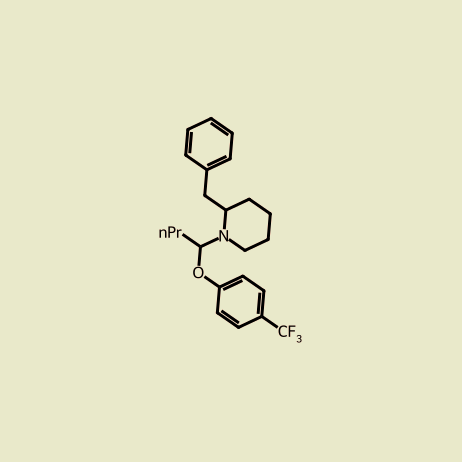 CCCC(Oc1ccc(C(F)(F)F)cc1)N1CCCCC1Cc1ccccc1